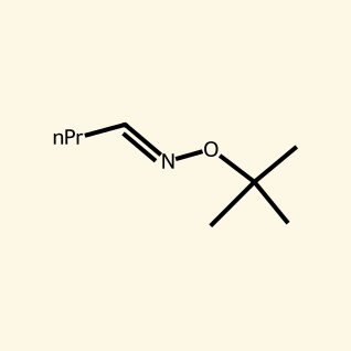 [CH2]CCC=NOC(C)(C)C